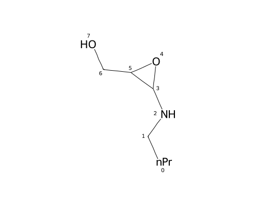 CCCCNC1OC1CO